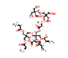 C=CC(=O)OCC(COCC(COC(=O)C=C)(COC(=O)C=C)COC(=O)C=C)(COC(=O)C=C)COC(=O)C=C.OCC(CO)(CO)COCC(CO)(CO)CO